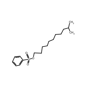 CC(C)CCCCCCCCCOS(=O)(=O)c1ccccc1